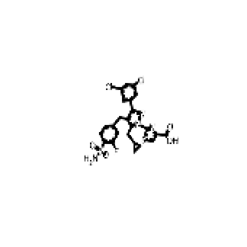 NS(=O)(=O)c1ccc(Cc2c(-c3cc(Cl)cc(Cl)c3)nn(-c3nc(C(=O)O)cs3)c2CC2CC2)cc1F